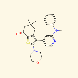 CN(c1ccccc1)c1cc(-c2c(N3CCOCC3)sc3c2CC(C)(C)CC3=O)ccn1